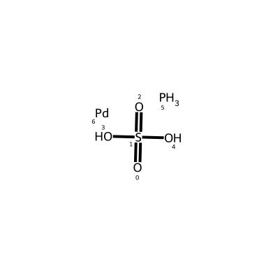 O=S(=O)(O)O.P.[Pd]